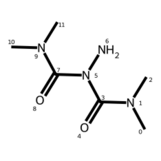 CN(C)C(=O)N(N)C(=O)N(C)C